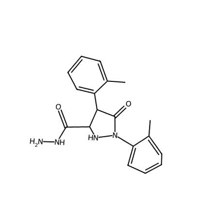 Cc1ccccc1C1C(=O)N(c2ccccc2C)NC1C(=O)NN